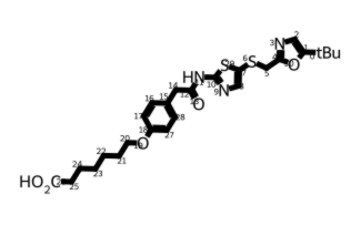 CC(C)(C)c1cnc(CSc2cnc(NC(=O)Cc3ccc(OCCCCCCC(=O)O)cc3)s2)o1